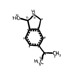 CC(C)c1ccc2c(c1)CNC2O